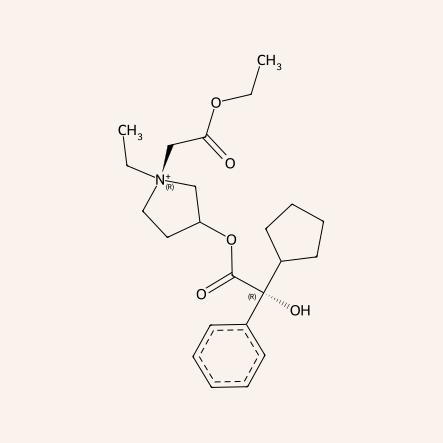 CCOC(=O)C[N@+]1(CC)CCC(OC(=O)[C@](O)(c2ccccc2)C2CCCC2)C1